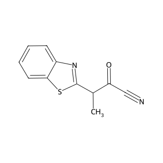 CC(C(=O)C#N)c1nc2ccccc2s1